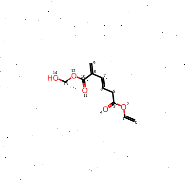 C=COC(=O)CC=CC(=C)C(=O)OCO